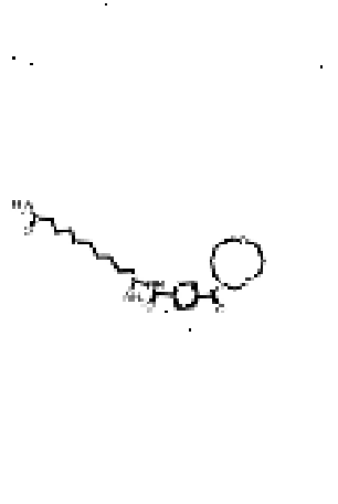 NC(=O)CCCCCCCCCC(N)NC(=O)c1ccc(C(=O)N2CCCCCCCCCC2)cc1